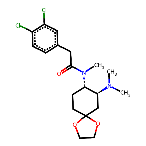 CN(C)[C@H]1CC2(CC[C@@H]1N(C)C(=O)Cc1ccc(Cl)c(Cl)c1)OCCO2